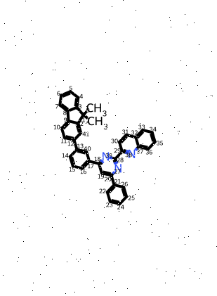 CC1(C)c2ccccc2-c2ccc(-c3cccc(-c4cc(-c5ccccc5)nc(-c5ccc6ccccc6n5)n4)c3)cc21